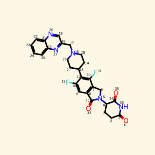 O=C1CCC(N2Cc3c(cc(F)c(C4CCN(Cc5cnc6ccccc6n5)CC4)c3F)C2=O)C(=O)N1